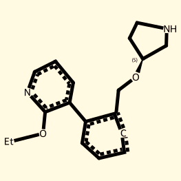 CCOc1ncccc1-c1ccccc1CO[C@H]1CCNC1